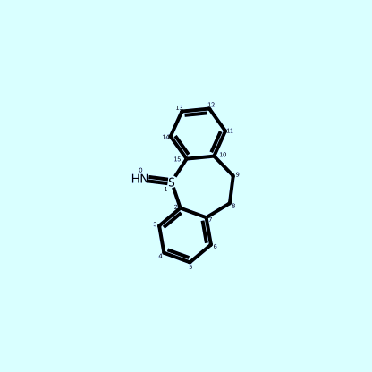 N=S1c2ccccc2CCc2ccccc21